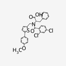 COc1ccc(-c2ccc(CN(C(=O)c3ccc(Cl)cc3Cl)C(Cc3ccccc3)C(=O)O)s2)cc1